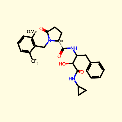 COc1cccc(C(F)(F)F)c1CN1C(=O)CC[C@@H]1C(=O)NC(Cc1ccccc1)C(O)C(=O)NC1CC1